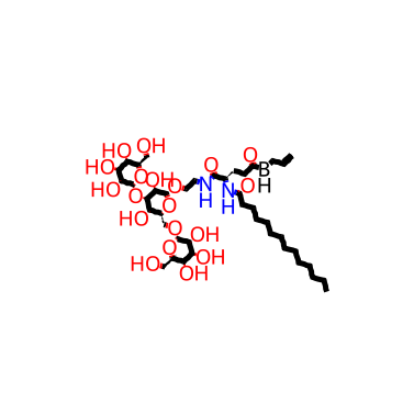 C=CCBC(=O)CC[C@H](NC(=O)CCCCCCCCCCCCC)C(=O)NCCO[C@H]1O[C@H](CO[C@H]2O[C@H](CO)[C@@H](O)[C@H](O)[C@@H]2O)[C@@H](O)[C@H](O[C@H]2O[C@H](CO)[C@@H](O)[C@H](O)[C@@H]2O)[C@@H]1O